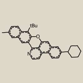 Cc1ccc2c(C(C)(C)C)c3c(cc2c1)-c1nccc2c1c(cc1cc(C4CCCCC4)ccc12)O3